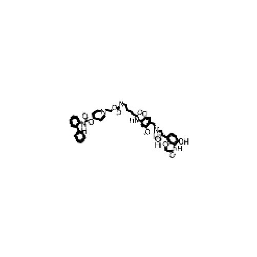 COc1cc(NC(=O)CCCCN(C)C(=O)OCCN2CCC(OC(=O)Nc3ccccc3-c3ccccc3)CC2)c(Cl)cc1CNC[C@H](O)c1ccc(O)c2c1OCC(=O)N2